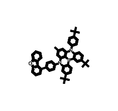 Cc1cc2c3c(c1)N(c1ccc(-c4cccc5oc6ccccc6c45)cc1)c1cc(C(C)(C)C)ccc1B3c1cc(C(C)(C)C)ccc1N2c1ccc(C(C)(C)C)cc1